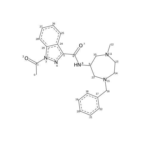 CC(=O)n1nc(C(=O)NC2CN(C)CCN(Cc3ccccc3)C2)c2ccccc21